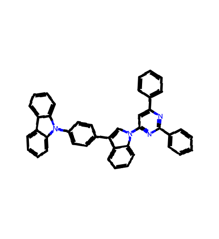 c1ccc(-c2cc(-n3cc(-c4ccc(-n5c6ccccc6c6ccccc65)cc4)c4ccccc43)nc(-c3ccccc3)n2)cc1